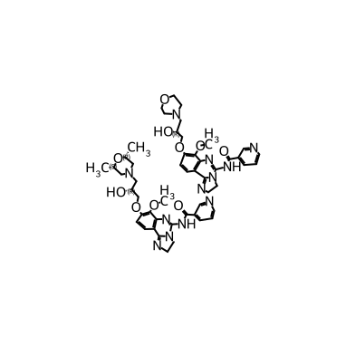 COc1c(OC[C@H](O)CN2CCOCC2)ccc2c1N=C(NC(=O)c1cccnc1)N1CCN=C21.COc1c(OC[C@H](O)CN2C[C@@H](C)O[C@@H](C)C2)ccc2c1N=C(NC(=O)c1cccnc1)N1CCN=C21